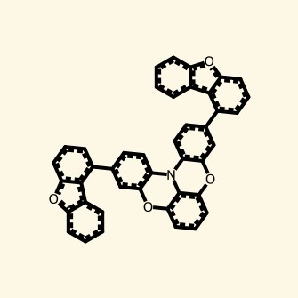 c1cc2c3c(c1)Oc1cc(-c4cccc5oc6ccccc6c45)ccc1N3c1ccc(-c3cccc4oc5ccccc5c34)cc1O2